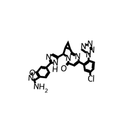 Nc1noc2cc(-c3ncc(C4C5CC5c5nc(-c6cc(Cl)ccc6-n6cnnn6)cc(=O)n54)[nH]3)ccc12